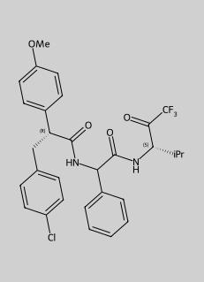 COc1ccc([C@@H](Cc2ccc(Cl)cc2)C(=O)NC(C(=O)N[C@H](C(=O)C(F)(F)F)C(C)C)c2ccccc2)cc1